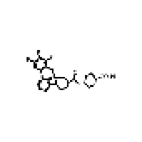 O=C(C[C@H]1CC[C@H](C(=O)O)CC1)N1CCc2c(n(Cc3c(F)cc(F)c(F)c3F)c3ncccc23)C1